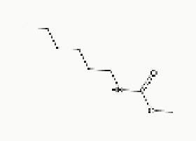 [CH2]CCCCCNC(=O)OC